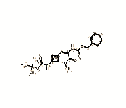 COC(=O)/C(=C\C12CC(NC(=O)OC(C)(C)C)(C1)C2)NC(=O)OCc1ccccc1